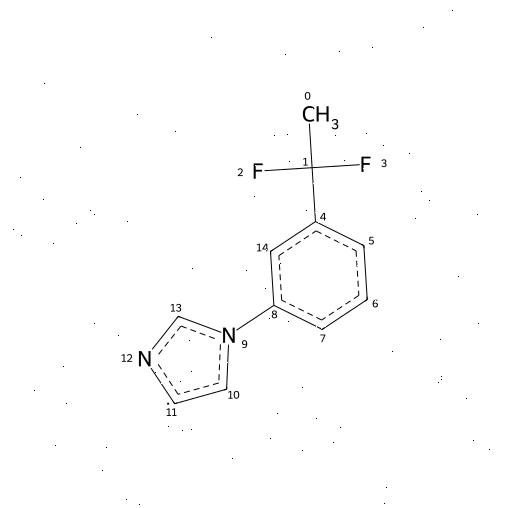 CC(F)(F)c1cccc(-n2c[c]nc2)c1